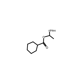 CCCCCCC(C)OC(=O)C1CCCCC1